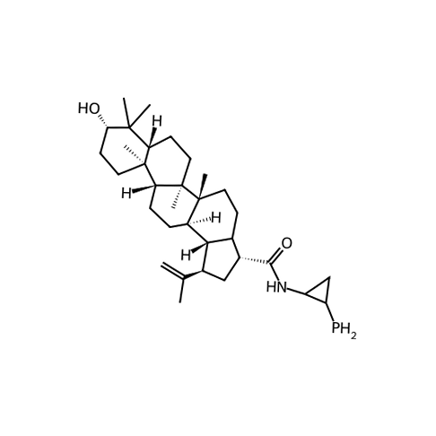 C=C(C)[C@@H]1C[C@@H](C(=O)NC2CC2P)C2CC[C@]3(C)[C@H](CC[C@@H]4[C@@]5(C)CC[C@H](O)C(C)(C)[C@@H]5CC[C@]43C)[C@H]21